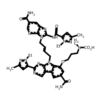 CCn1nc(C)cc1C(=O)Nc1nc2cc(C(N)=O)cnc2n1C/C=C/Cn1c2nc(-c3cc(C)nn3CC)ncc2c2cc(C(N)=O)cc(OCCCN(C)C(=O)O)c21